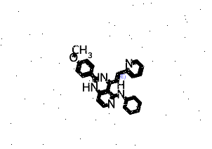 COc1ccc(CNc2ccnc(NC3CCCCC3)c2C(=N)/C=C/c2ccccn2)cc1